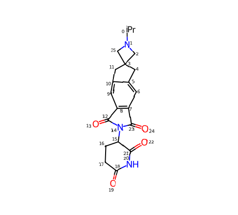 CC(C)N1CC2(Cc3cc4c(cc3C2)C(=O)N(C2CCC(=O)NC2=O)C4=O)C1